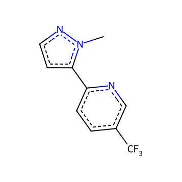 Cn1nccc1-c1ccc(C(F)(F)F)cn1